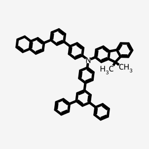 CC1(C)c2ccccc2-c2ccc(N(c3ccc(-c4cccc(-c5ccc6c(c5)CCC=C6)c4)cc3)c3ccc(-c4cc(-c5ccccc5)cc(-c5ccccc5)c4)cc3)cc21